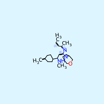 C=C1CCC(C(/C=C(/N=C(C)\C=C/C)N2C3CCC2COC3)NC)CC1